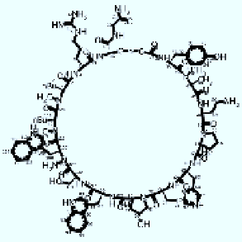 CCCC[C@H]1C(=O)N[C@@H](CCCNC(=N)N)C(=O)N[C@H](C(=O)NCC(N)=O)CSCC(=O)N[C@@H](Cc2ccc(O)cc2)C(=O)N(C)[C@@H](C)C(=O)N[C@@H](CCN)C(=O)N2CCC[C@H]2C(=O)N[C@@H](Cc2c[nH]cn2)C(=O)N[C@@H](CC(C)C)C(=O)N2C[C@H](O)C[C@H]2C(=O)N[C@@H](Cc2c[nH]c3ccccc23)C(=O)N[C@@H](CO)C(=O)N(N)[C@@H](Cc2c[nH]c3ccccc23)C(=O)N(C)[C@@H](CCCC)C(=O)N1C